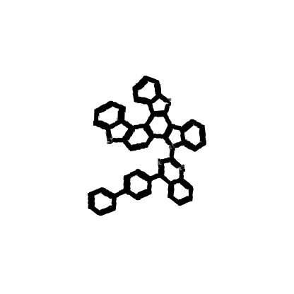 c1ccc(-c2ccc(-c3nc(-n4c5ccccc5c5c6sc7ccccc7c6c6c(ccc7sc8ccccc8c76)c54)nc4ccccc34)cc2)cc1